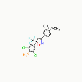 C=Cc1ccc(C2=NOC(c3cc(Cl)c(P)c(Cl)c3)(C(F)(F)F)C2)cc1C